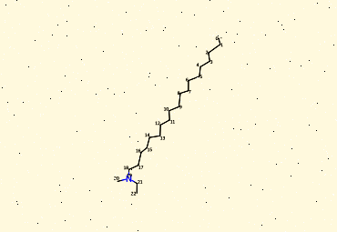 [CH2]CCCCCCCCCCCCCCCCC[CH]N(C)CC